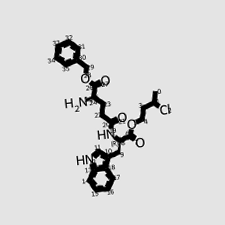 CC(Cl)CCOC(=O)[C@@H](Cc1c[nH]c2ccccc12)NC(=O)CC[C@@H](N)C(=O)OCc1ccccc1